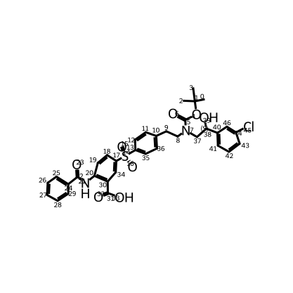 CC(C)(C)OC(=O)N(CCc1ccc(S(=O)(=O)c2ccc(NC(=O)c3ccccc3)c(C(=O)O)c2)cc1)C[C@@H](O)c1cccc(Cl)c1